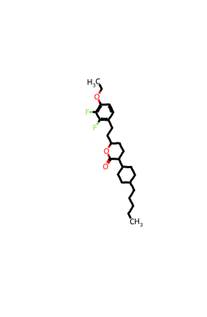 CCCCCC1CCC(C2CCC(CCc3ccc(OCC)c(F)c3F)OC2=O)CC1